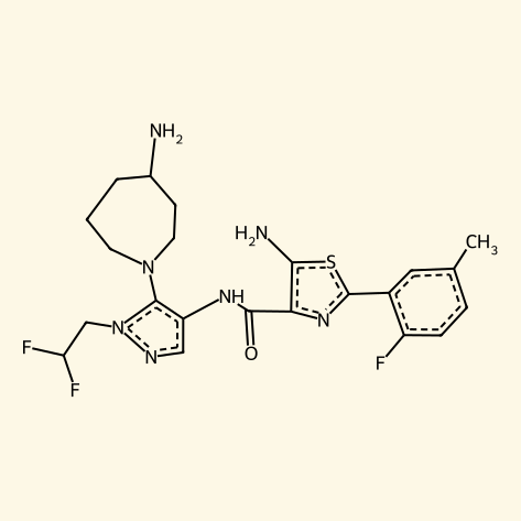 Cc1ccc(F)c(-c2nc(C(=O)Nc3cnn(CC(F)F)c3N3CCCC(N)CC3)c(N)s2)c1